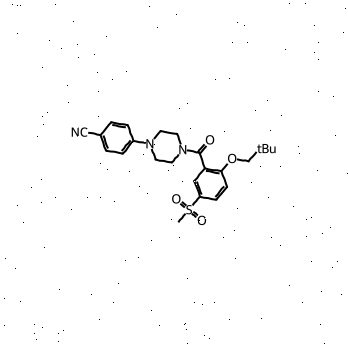 CC(C)(C)COc1ccc(S(C)(=O)=O)cc1C(=O)N1CCN(c2ccc(C#N)cc2)CC1